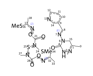 CC1=NNC(=O)N(/N=C/c2cccnc2)C1.CS/C(C)=N\OC(=O)N(C)SN(C)C(=O)O/N=C(/C)SC